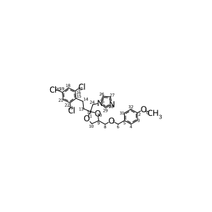 COc1ccc(COCC2COC(CCc3c(Cl)cc(Cl)cc3Cl)(Cn3ccnc3)O2)cc1